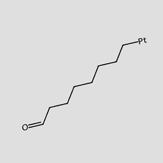 O=CCCCCCC[CH2][Pt]